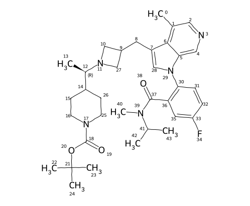 Cc1cncc2c1c(CC1CN([C@H](C)C3CCN(C(=O)OC(C)(C)C)CC3)C1)cn2-c1ccc(F)cc1C(=O)N(C)C(C)C